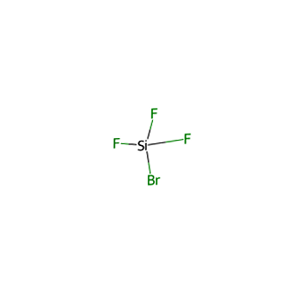 F[Si](F)(F)Br